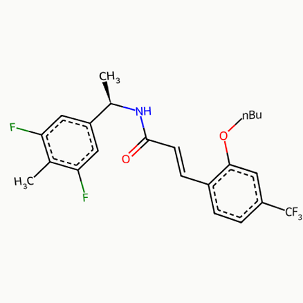 CCCCOc1cc(C(F)(F)F)ccc1/C=C/C(=O)N[C@H](C)c1cc(F)c(C)c(F)c1